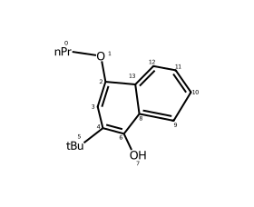 CCCOc1cc(C(C)(C)C)c(O)c2ccccc12